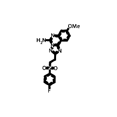 COc1ccc2c(c1)nc(N)n1nc(CCS(=O)(=O)c3ccc(F)cc3)nc21